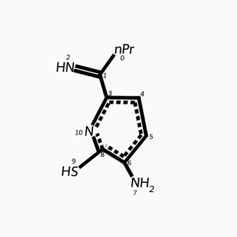 CCCC(=N)c1ccc(N)c(S)n1